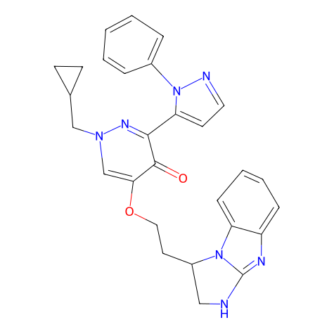 O=c1c(OCCC2CNc3nc4ccccc4n32)cn(CC2CC2)nc1-c1ccnn1-c1ccccc1